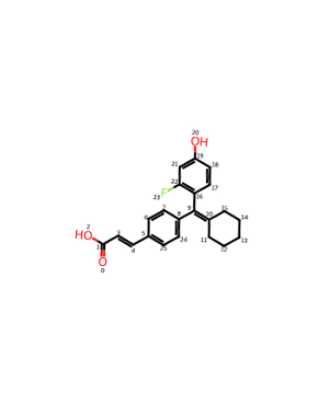 O=C(O)C=Cc1ccc(C(=C2CCCCC2)c2ccc(O)cc2F)cc1